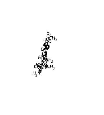 CC(C)NC(=O)n1ccc2c(C(=O)N3CCC4(CC3)CN(N)/C(=N\C(=O)C3NC(Cl)=C(N=NN)NC3N=NN)N4)cccc21